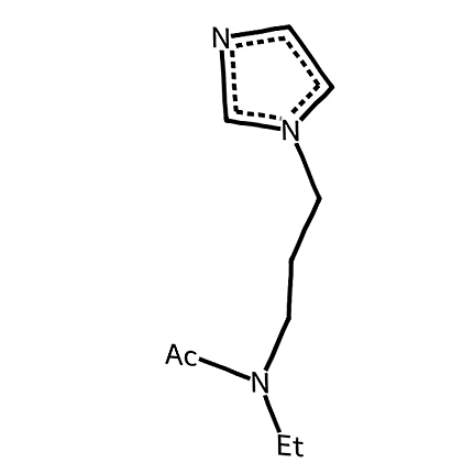 CCN(CCCn1ccnc1)C(C)=O